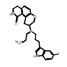 CCCN(CCCc1c[nH]c2ccc(F)cc12)C1COc2ccc3c(c2C1)C(=O)NCC3